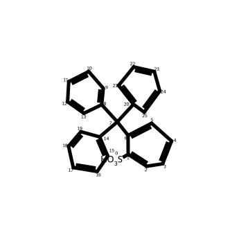 O=S(=O)(O)c1ccccc1C(c1ccccc1)(c1ccccc1)c1ccccc1